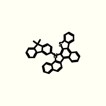 CC1(C)c2ccccc2-c2cc(-n3c4c5ccccc5ccc4c4c5ccccc5c5c6ccccc6sc5c43)ccc21